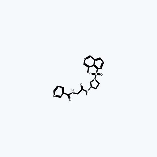 Cc1cncc2cccc(S(=O)(=O)N3CC[C@@H](NC(=O)CNC(=O)c4cccnc4)C3)c12